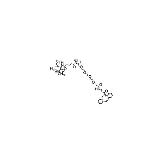 CNC(=O)[C@@H](NC(=O)CCCC(=O)N(C)CCOCCOCCOCCOCCC(=O)NCCC(=O)N1Cc2ccccc2C#Cc2ccccc21)C(C)C